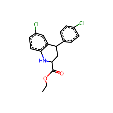 CCOC(=O)C1CC(c2ccc(Cl)cc2)c2cc(Cl)ccc2N1